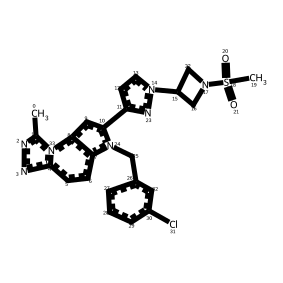 Cc1nnc2ccc3c(cc(-c4ccn([C]5CN(S(C)(=O)=O)C5)n4)n3Cc3cccc(Cl)c3)n12